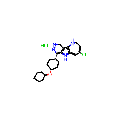 Cl.ClC1=CCNc2c3c([nH]c2=C1)=C([C@H]1CC[C@H](OC2CCCCC2)CC1)N=NC3